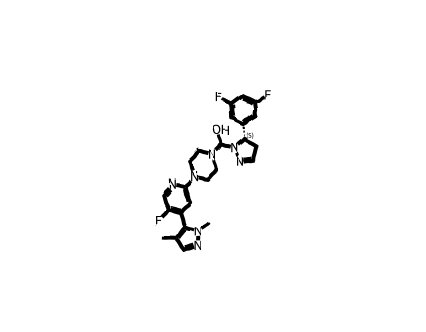 Cc1cnn(C)c1-c1cc(N2CCN(C(O)N3N=CC[C@H]3c3cc(F)cc(F)c3)CC2)ncc1F